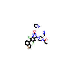 C=CC(=O)N1CCN(c2nc(OC[C@@H]3CCCN3C)nc3c(F)c(-c4cccc5sccc45)c(F)cc23)C[C@@H]1CC#N